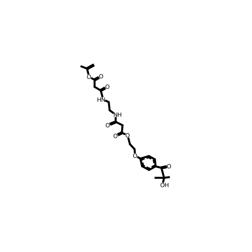 C=C(C)OC(=O)CC(=O)NCCNC(=O)CC(=O)OCCOc1ccc(C(=O)C(C)(C)O)cc1